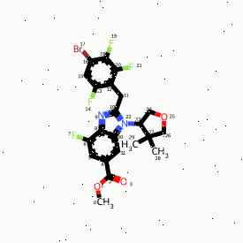 COC(=O)c1cc(F)c2nc(Cc3c(F)cc(Br)c(F)c3F)n(C3COCC3(C)C)c2c1